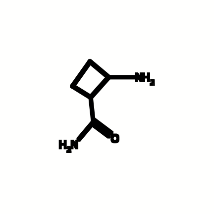 NC(=O)C1CCC1N